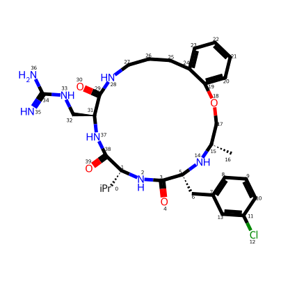 CC(C)[C@H]1NC(=O)[C@@H](Cc2cccc(Cl)c2)N[C@@H](C)COc2ccccc2CCCNC(=O)[C@H](CNC(=N)N)NC1=O